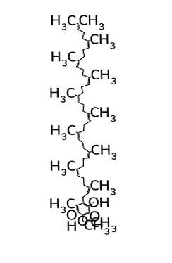 COc1c(O)c(C)c(CC=C(C)CCC=C(C)CCC=C(C)CCC=C(C)CCC=C(C)CCC=C(C)CCC=C(C)CCC=C(C)CCC=C(C)CCC=C(C)C)c(O)c1OC